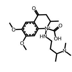 COc1cc2c(cc1OC)[N+](NCCC(C)N(C)C)(C(=O)O)C(C)CC2=O